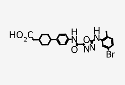 Cc1ccc(Br)cc1Nc1nnc(C(=O)Nc2ccc(C3CCC(CC(=O)O)CC3)cc2)o1